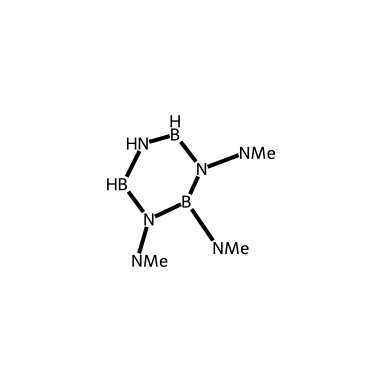 CNB1N(NC)BNBN1NC